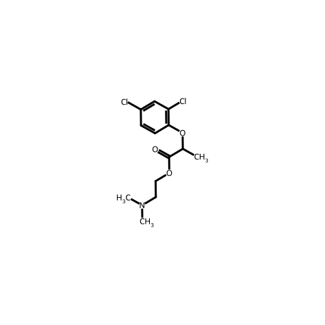 CC(Oc1ccc(Cl)cc1Cl)C(=O)OCCN(C)C